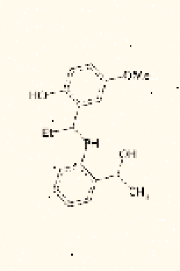 CCC(Pc1ccccc1C(C)O)c1cc(OC)ccc1O